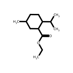 CCOC(=O)C1CC(C)CCC1C(C)C